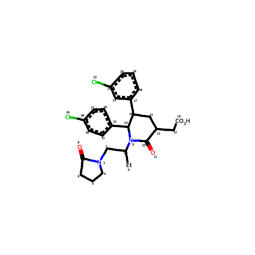 CCC(CN1CCCC1=O)N1C(=O)C(CC(=O)O)CC(c2cccc(Cl)c2)C1c1ccc(Cl)cc1